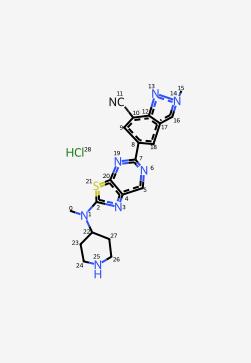 CN(c1nc2cnc(-c3cc(C#N)c4nn(C)cc4c3)nc2s1)C1CCNCC1.Cl